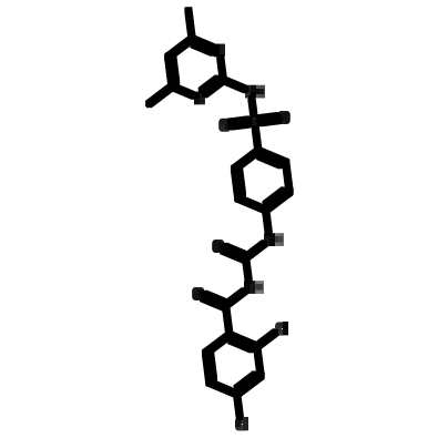 Cc1cc(C)nc(NS(=O)(=O)c2ccc(NC(=O)NC(=O)c3ccc(Cl)cc3Cl)cc2)n1